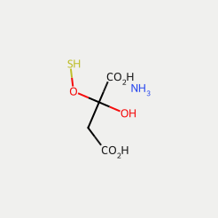 N.O=C(O)CC(O)(OS)C(=O)O